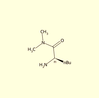 CCCC[C@@H](N)C(=O)N(C)C